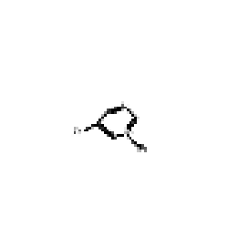 CC(C)c1cnc[n+](C(C)C)c1